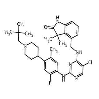 Cc1cc(Nc2ncc(Cl)c(NCc3cccc4c3C(C)(C)C(=O)N4)n2)c(F)cc1C1CCN(CC(C)(C)O)CC1